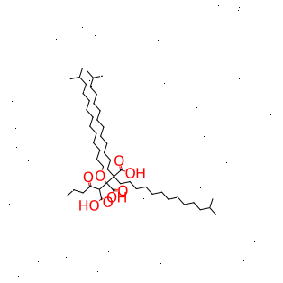 CCCC(=O)C(C(=O)O)C(OCCCCCCCCCCCC(C)C)(C(=O)O)C(CCCCCCCCCCCC(C)C)(CCCCCCCCCCCC(C)C)C(=O)O